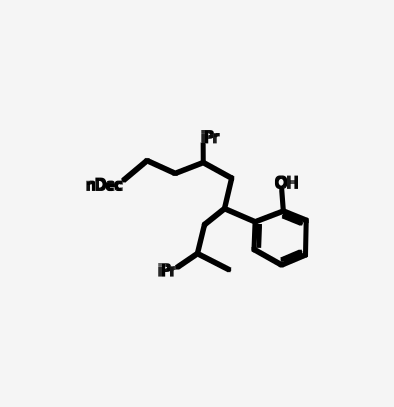 CCCCCCCCCCCCC(CC(CC(C)C(C)C)c1ccccc1O)C(C)C